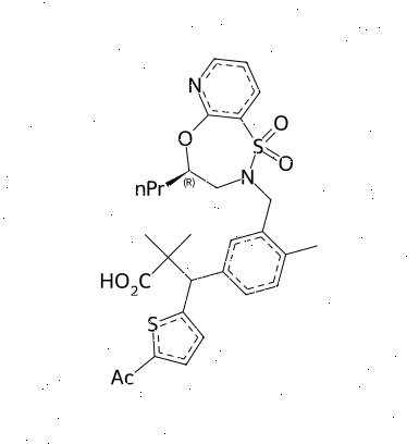 CCC[C@@H]1CN(Cc2cc(C(c3ccc(C(C)=O)s3)C(C)(C)C(=O)O)ccc2C)S(=O)(=O)c2cccnc2O1